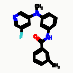 Bc1cccc(C(=O)Nc2cccc(N(C)c3cncc(F)c3)c2)c1